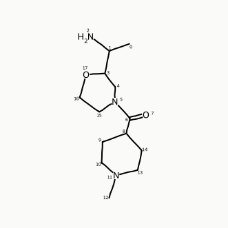 CC(N)C1CN(C(=O)C2CCN(C)CC2)CCO1